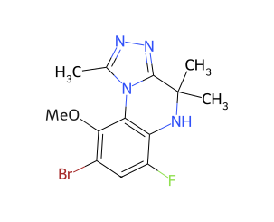 COc1c(Br)cc(F)c2c1-n1c(C)nnc1C(C)(C)N2